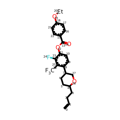 C=CCCC1CCC(c2ccc(OC(=O)c3ccc(OCC)cc3)c(F)c2C(F)(F)F)CO1